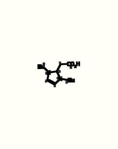 CCC(C)N1C=CN(C(C)CC)C1CC(=O)O